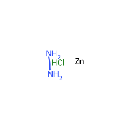 Cl.NN.[Zn]